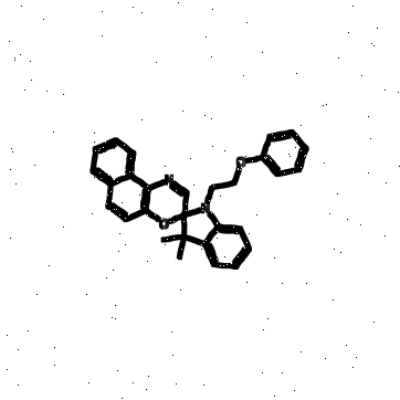 CC1(C)c2ccccc2N(CCOc2ccccc2)C12C=Nc1c(ccc3ccccc13)O2